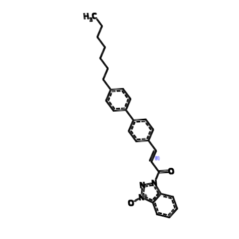 CCCCCCCc1ccc(-c2ccc(/C=C/C(=O)n3n[n+]([O-])c4ccccc43)cc2)cc1